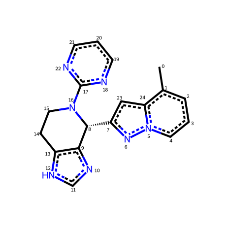 Cc1cccn2nc([C@@H]3c4nc[nH]c4CCN3c3ncccn3)cc12